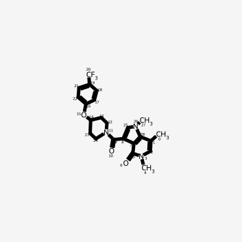 Cc1cn(C)c(=O)c2c(C(=O)N3CCC(Oc4ccc(C(F)(F)F)cc4)CC3)cn(C)c12